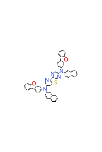 c1ccc2cc(N(c3ccc4c(c3)oc3ccccc34)c3cnc4c(c3)sc3nc(N(c5ccc6ccccc6c5)c5ccc6c(c5)oc5ccccc56)cnc34)ccc2c1